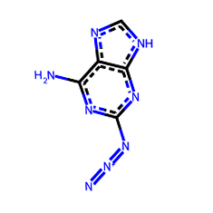 [N-]=[N+]=Nc1nc(N)c2nc[nH]c2n1